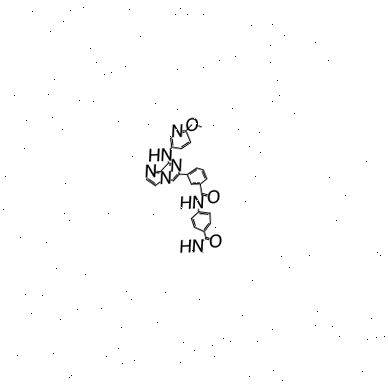 CNC(=O)c1ccc(NC(=O)c2cccc(-c3cn4ccnc4c(Nc4ccc(OC)nc4)n3)c2)cc1